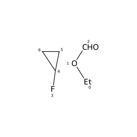 CCOC=O.FC1CC1